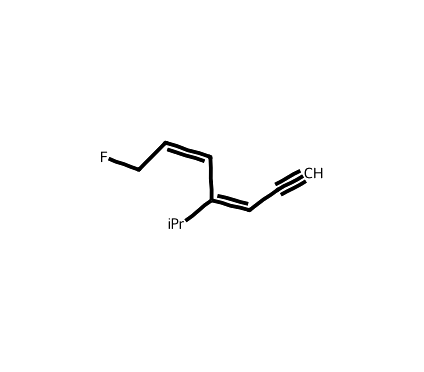 C#C/C=C(\C=C/CF)C(C)C